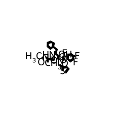 CC(=O)NC(C)C(=O)NC(Cc1ccccc1)C(O)CN(Cc1cccs1)S(=O)(=O)c1cc(F)c(F)cc1F